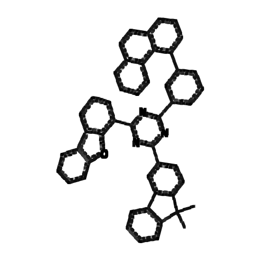 CC1(C)c2ccccc2-c2cc(-c3nc(-c4cccc(-c5cccc6ccc7ccccc7c56)c4)nc(-c4cccc5c4oc4ccccc45)n3)ccc21